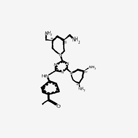 CC(=O)c1ccc(Nc2nc(N3C[C@H](N)C[C@H](N)C3)nc(N3C[C@H](CN)C[C@H](CN)C3)n2)cc1